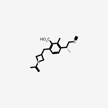 C#SC[C@H](C)c1ccc(CC2CN(C(=C)C)C2)c(C(=O)O)c1C